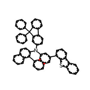 c1ccc(-c2c(N(c3cccc(-c4cccc5c4sc4ccccc45)c3)c3ccc4c(c3)C(c3ccccc3)(c3ccccc3)c3ccccc3-4)ccc3ccccc23)cc1